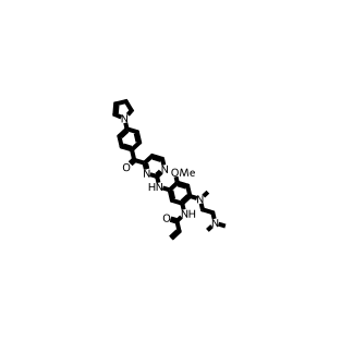 C=CC(=O)Nc1cc(Nc2nccc(C(=O)c3ccc(N4C=CCC4)cc3)n2)c(OC)cc1N(C)CCN(C)C